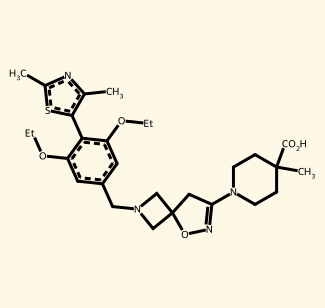 CCOc1cc(CN2CC3(CC(N4CCC(C)(C(=O)O)CC4)=NO3)C2)cc(OCC)c1-c1sc(C)nc1C